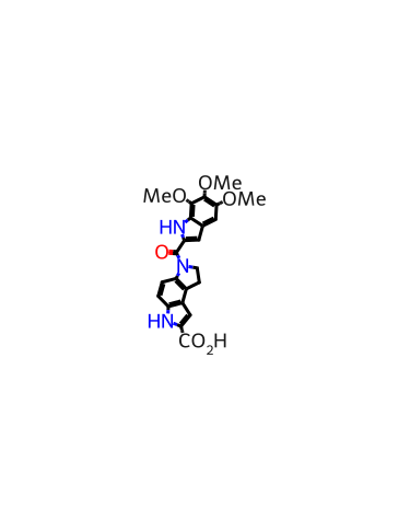 COc1cc2cc(C(=O)N3CCc4c3ccc3[nH]c(C(=O)O)cc43)[nH]c2c(OC)c1OC